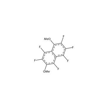 COc1c(F)c(F)c2c(OC)c(F)c(F)c(F)c2c1F